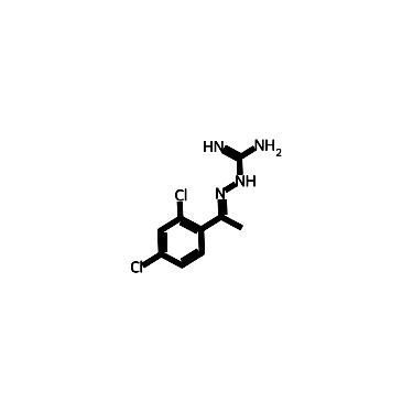 CC(=NNC(=N)N)c1ccc(Cl)cc1Cl